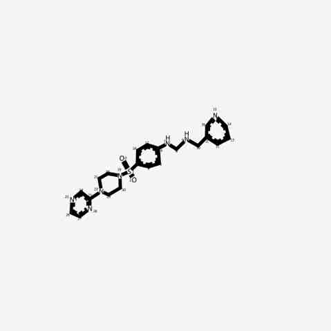 O=S(=O)(c1ccc(NCNCc2cccnc2)cc1)N1CCN(c2cnccn2)CC1